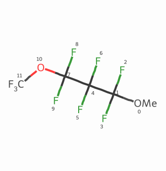 COC(F)(F)C(F)(F)C(F)(F)OC(F)(F)F